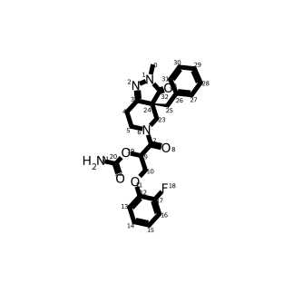 CN1N=C2CCN(C(=O)C(COc3ccccc3F)OC(N)=O)C[C@@]2(Cc2ccccc2)C1=O